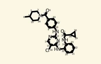 CC1CCN(C(=O)c2ccc(Nc3ncc(Cl)c(Nc4ccccc4NC(=O)C4CC4)n3)cc2)CC1